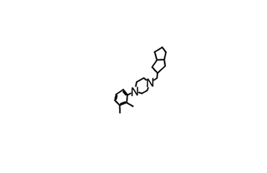 Cc1cccc(N2CCN(CC3CC4CCCC4C3)CC2)c1C